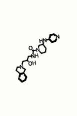 O=C(NCC(O)CN1CCc2ccccc2C1)N1CCCC(Nc2ccncc2)C1